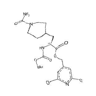 CC(C)(C)OC(=O)N[C@@H](CC1CCN(C(N)=O)CC1)C(=O)OCc1cc(Cl)nc(Cl)c1